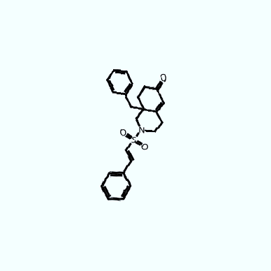 O=C1C=C2CCN(S(=O)(=O)/C=C/c3ccccc3)CC2(Cc2ccccc2)CC1